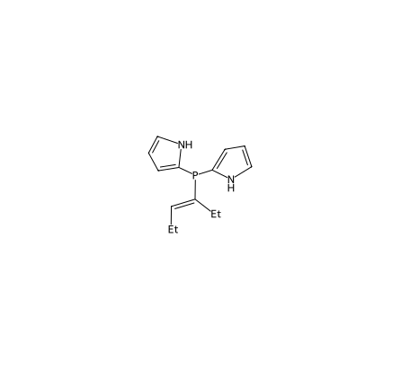 CCC=C(CC)P(c1ccc[nH]1)c1ccc[nH]1